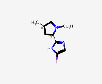 C[C@H]1C[C@@H](c2ncc(I)[nH]2)N(C(=O)O)C1